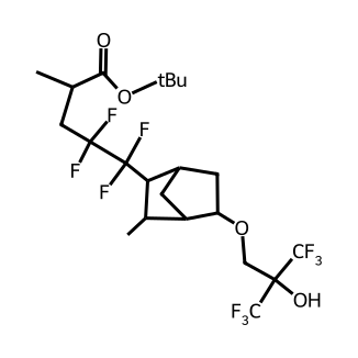 CC(CC(F)(F)C(F)(F)C1C2CC(OCC(O)(C(F)(F)F)C(F)(F)F)C(C2)C1C)C(=O)OC(C)(C)C